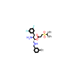 CCCC(CCC)S(=O)(=O)CCC(=O)O[C@H](CNCc1cccc(CC)c1)[C@@H](N)Cc1cc(F)cc(F)c1